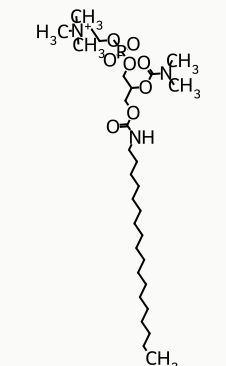 CCCCCCCCCCCCCCCCCCNC(=O)OCC(COP(=O)([O-])OCC[N+](C)(C)C)OC(=O)N(C)C